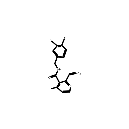 C=Cc1nccc(I)c1C(=O)NCc1ccc(F)c(F)c1